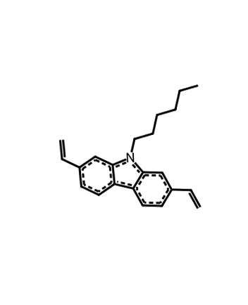 C=Cc1ccc2c3ccc(C=C)cc3n(CCCCCC)c2c1